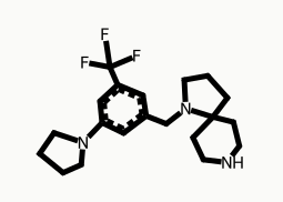 FC(F)(F)c1cc(CN2CCCC23CCNCC3)cc(N2CCCC2)c1